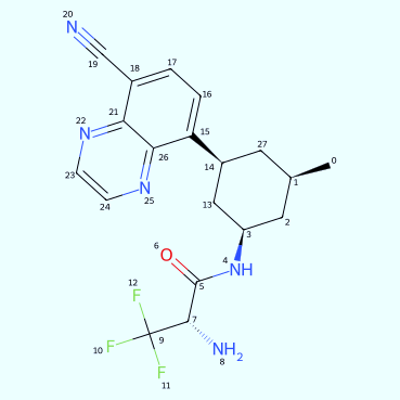 C[C@H]1C[C@@H](NC(=O)[C@H](N)C(F)(F)F)C[C@@H](c2ccc(C#N)c3nccnc23)C1